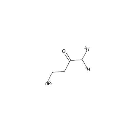 [2H]C([2H])C(=O)CCCCC